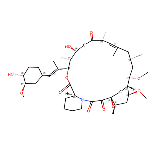 CO[C@H]1C[C@@H](C)C/C(C)=C/[C@@H](C)C(=O)C[C@H](O)[C@@H](C)[C@@H](/C(C)=C/[C@@H]2CC[C@@H](O)[C@H](OC)C2)OC(=O)[C@@H]2CCCCN2C(=O)C(=O)[C@]2(O)C[C@H]1[C@@H](OC)C[C@H]2C